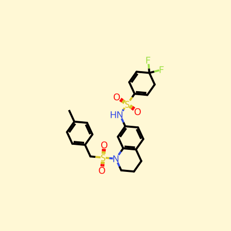 Cc1ccc(CS(=O)(=O)N2CCCc3ccc(NS(=O)(=O)C4=CCC(F)(F)C=C4)cc32)cc1